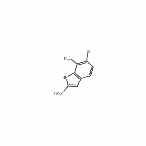 CCOC(=O)c1cc2ccc(Cl)c(C)c2[nH]1